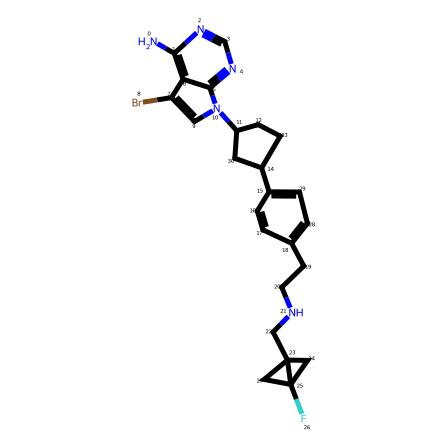 Nc1ncnc2c1c(Br)cn2C1CCC(c2ccc(CCNCC34CC3(F)C4)cc2)C1